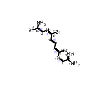 N=C(N)\C=N/C(Br)=C/C=C/C(Br)=N\C=C(/N)Br